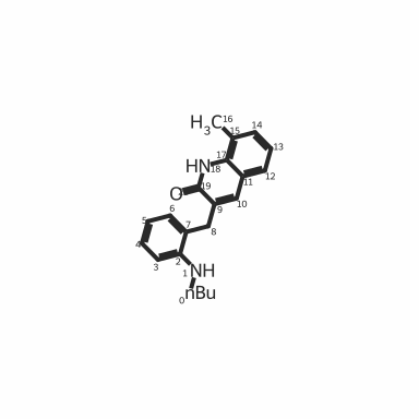 CCCCNc1ccccc1Cc1cc2cccc(C)c2[nH]c1=O